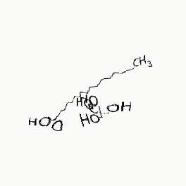 CCCCCCCCCCCCCCCCCC(=O)O.OCC(CO)(CO)CO